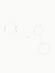 O=S(=O)(Nn1nc(C(F)(F)F)cc1-c1cnccn1)c1ccccc1